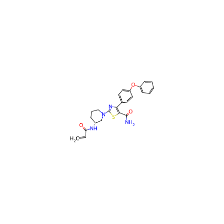 C=CC(=O)N[C@@H]1CCCN(c2nc(-c3ccc(Oc4ccccc4)cc3)c(C(N)=O)s2)C1